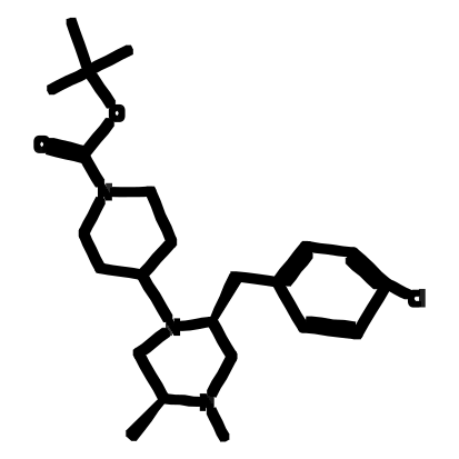 C[C@H]1CN(C2CCN(C(=O)OC(C)(C)C)CC2)[C@@H](Cc2ccc(Cl)cc2)CN1C